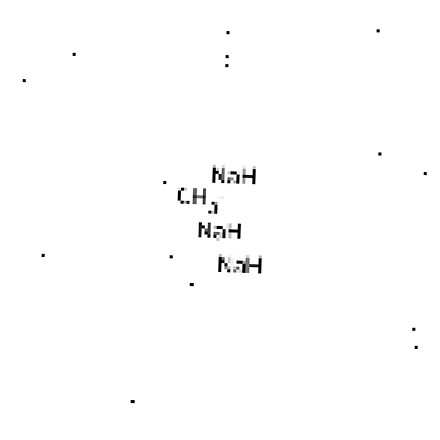 [CH3].[NaH].[NaH].[NaH]